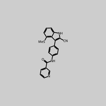 CSc1cccc2[nH]c(C#N)c(-c3ccc(NC(=O)c4cccnc4)cc3)c12